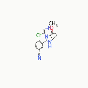 CN1C=C(Cl)N2C(c3cccc(C#N)c3)NC3CCCC(=O)C32C1